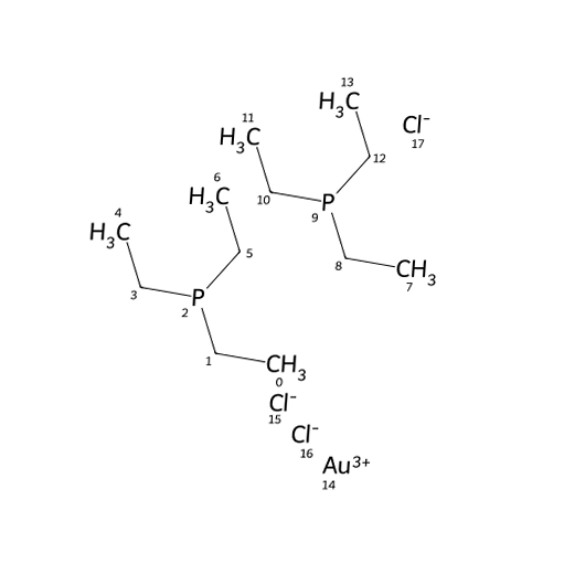 CCP(CC)CC.CCP(CC)CC.[Au+3].[Cl-].[Cl-].[Cl-]